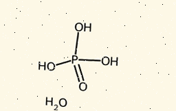 O.O=P(O)(O)O